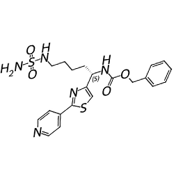 NS(=O)(=O)NCCCC[C@H](NC(=O)OCc1ccccc1)c1csc(-c2ccncc2)n1